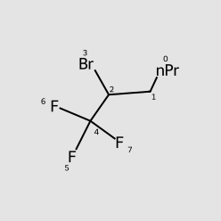 CCCCC(Br)C(F)(F)F